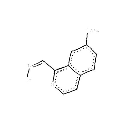 COc1ccc2ccnc(/C=N\O)c2c1